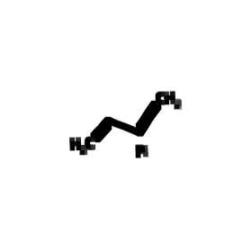 C=CC=C.[P]